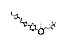 CCN1CC(ON=C2CN(c3ncc(-c4cccc(CO[Si](C)(C)C(C)(C)C)c4F)cn3)C2)C1